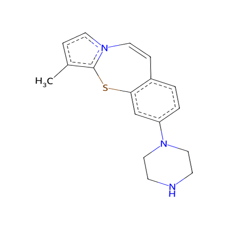 Cc1ccn2c1Sc1cc(N3CCNCC3)ccc1C=C2